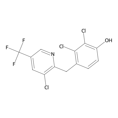 Oc1ccc(Cc2ncc(C(F)(F)F)cc2Cl)c(Cl)c1Cl